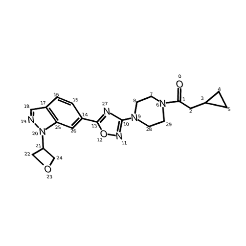 O=C(CC1CC1)N1CCN(c2noc(-c3ccc4cnn(C5COC5)c4c3)n2)CC1